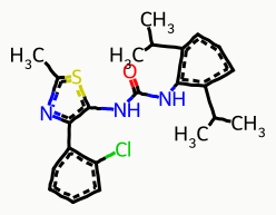 Cc1nc(-c2ccccc2Cl)c(NC(=O)Nc2c(C(C)C)cccc2C(C)C)s1